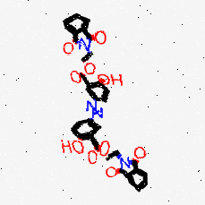 O=C(OCCN1C(=O)c2ccccc2C1=O)c1cc(/N=N/c2ccc(O)c(C(=O)OCCN3C(=O)c4ccccc4C3=O)c2)ccc1O